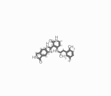 Cc1ccc(F)cc1C[C@H](C)Nc1cc[nH]c(=O)c1-c1nc2cc3c(cc2[nH]1)CNC3=O